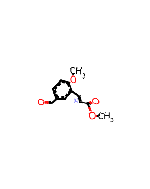 COC(=O)/C=C/c1cc(C=O)ccc1OC